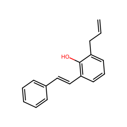 C=CCc1cccc(C=Cc2ccccc2)c1O